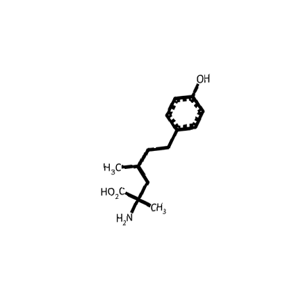 CC(CCc1ccc(O)cc1)CC(C)(N)C(=O)O